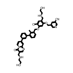 Cc1c(COc2cc(OCc3cncc(C#N)c3)c(CNCCO)cc2Cl)cccc1-c1cccc(-c2ccn3c(=O)c(CNCCO)cnc3c2)c1